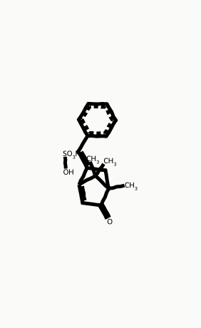 CC1(C)C2=CC(=O)C1(C)CC2=Cc1ccccc1.O=S(=O)(O)O